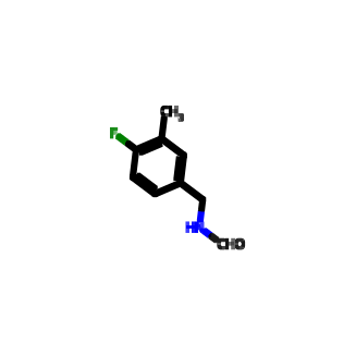 Cc1cc(CNC=O)ccc1F